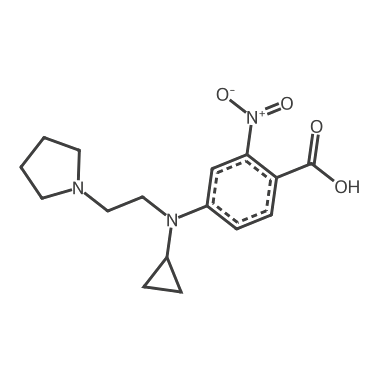 O=C(O)c1ccc(N(CCN2CCCC2)C2CC2)cc1[N+](=O)[O-]